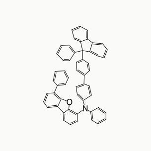 c1ccc(-c2cccc3c2oc2c(N(c4ccccc4)c4ccc(-c5ccc(C6(c7ccccc7)c7ccccc7-c7ccccc76)cc5)cc4)cccc23)cc1